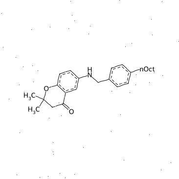 CCCCCCCCc1ccc(CNc2ccc3c(c2)C(=O)CC(C)(C)O3)cc1